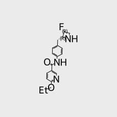 CCOc1ccc(C(=O)Nc2ccc(C[C@H]3NC[C@H]3F)cc2)cn1